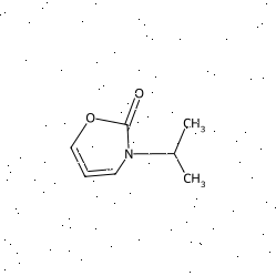 CC(C)N1C=C=COC1=O